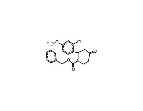 O=C1CCN(C(=O)OCc2ccccc2)C(c2ccc(OC(F)(F)F)cc2Cl)C1